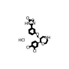 Cl.O=c1[nH]c(-c2cccc(OC[C@@H]3CNCCO[C@H]3c3ccc(Cl)c(Cl)c3)c2)no1